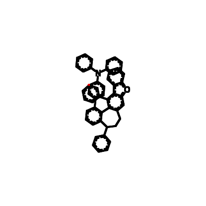 c1ccc(-c2c3c(cc4oc5ccccc5c24)CCC(c2ccccc2)c2cccc(-c4ccc(N(c5ccccc5)c5ccccc5)cc4)c2-3)cc1